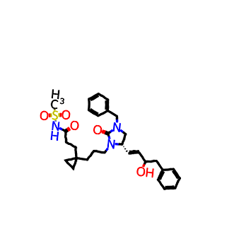 CS(=O)(=O)NC(=O)CCC1(CCCN2C(=O)N(Cc3ccccc3)C[C@@H]2C=CC(O)Cc2ccccc2)CC1